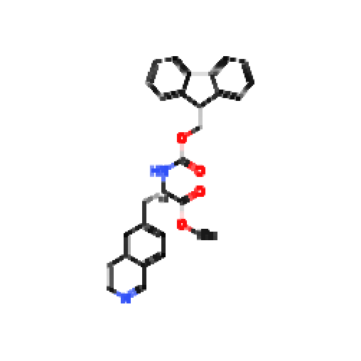 CC(C)(C)OC(=O)[C@H](Cc1ccc2cnccc2c1)NC(=O)OCC1c2ccccc2-c2ccccc21